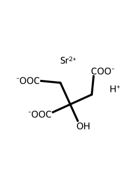 O=C([O-])CC(O)(CC(=O)[O-])C(=O)[O-].[H+].[Sr+2]